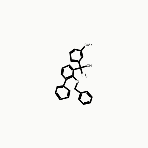 COc1cccc(C(C)(O)c2cccc(-c3ccccc3)c2OCc2ccccc2)c1